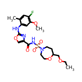 CCOCC1CCN(S(=O)(=O)NC(=O)c2coc(Nc3cc(OC)c(F)cc3C)n2)CCO1